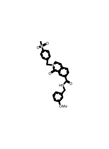 COc1cccc(CNC(=O)c2ccc3ccn(Cc4ccc(S(C)(=O)=O)cc4)c(=O)c3c2)c1